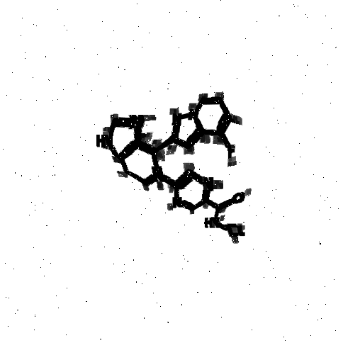 CCNC(=O)c1cnc(N2CCc3[nH]cnc3[C@H]2c2cc3c(F)cccn3n2)cn1